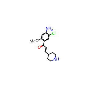 COc1cc(N)c(Cl)cc1C(=O)/C=C/C1CCNCC1